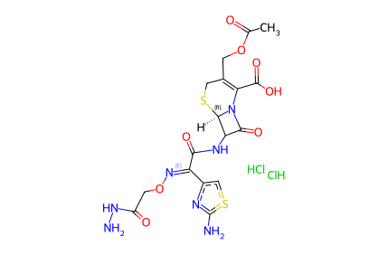 CC(=O)OCC1=C(C(=O)O)N2C(=O)C(NC(=O)/C(=N/OCC(=O)NN)c3csc(N)n3)[C@H]2SC1.Cl.Cl